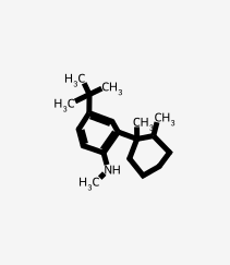 CNc1ccc(C(C)(C)C)cc1C1(C)CCCCC1C